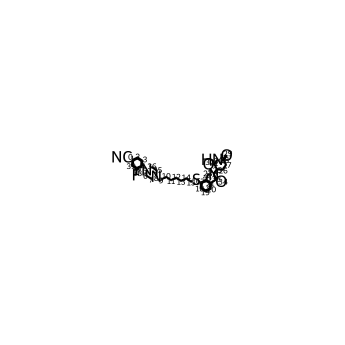 N#Cc1ccc(N2CCN(CCCCCCCSc3cccc4c3CN(C3CCC(=O)NC3=O)C4=O)CC2)c(F)c1